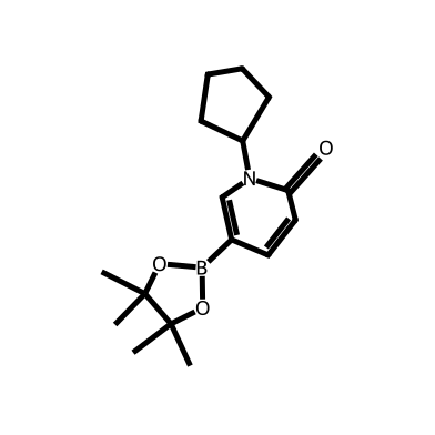 CC1(C)OB(c2ccc(=O)n(C3CCCC3)c2)OC1(C)C